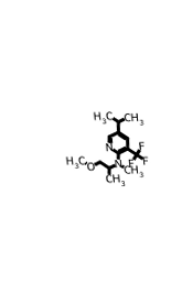 COCC(C)N(C)c1ncc(C(C)C)cc1C(F)(F)F